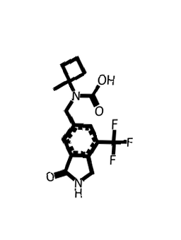 CC1(N(Cc2cc3c(c(C(F)(F)F)c2)CNC3=O)C(=O)O)CCC1